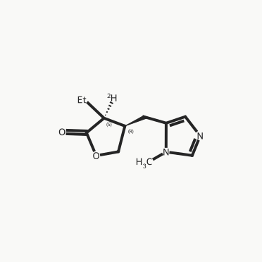 [2H][C@@]1(CC)C(=O)OC[C@@H]1Cc1cncn1C